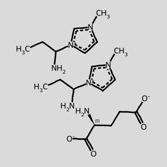 CCC(N)[n+]1ccn(C)c1.CCC(N)[n+]1ccn(C)c1.N[C@@H](CCC(=O)[O-])C(=O)[O-]